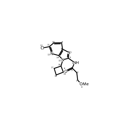 COCCC(=O)Nc1nc2ccc(Cl)nc2n1C1CCC1